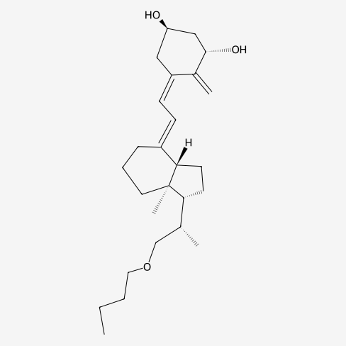 C=C1/C(=C\C=C2/CCC[C@]3(C)[C@@H]([C@H](C)COCCCC)CC[C@@H]23)C[C@@H](O)C[C@@H]1O